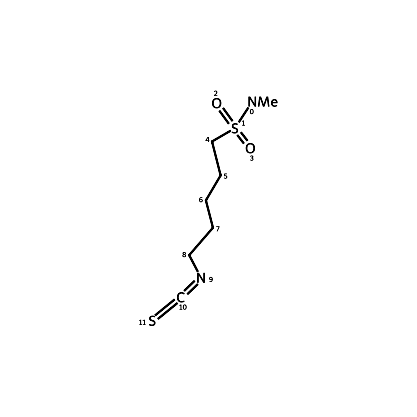 CNS(=O)(=O)CCCCCN=C=S